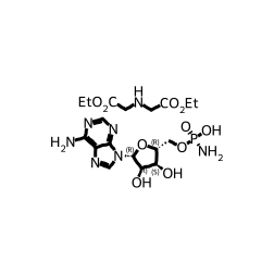 CCOC(=O)CNCC(=O)OCC.Nc1ncnc2c1ncn2[C@@H]1O[C@H](COP(N)(=O)O)[C@@H](O)[C@H]1O